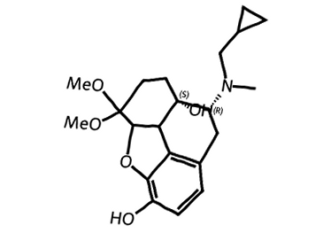 COC1(OC)CC[C@]2(O)C3c4c(ccc(O)c4OC31)C[C@H]2N(C)CC1CC1